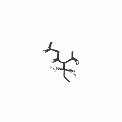 CCC(N)(N)C(C(C)=O)C(=O)CC(C)=O